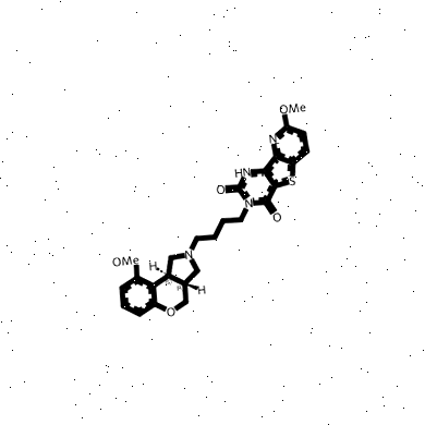 COc1ccc2sc3c(=O)n(CCCCN4C[C@@H]5COc6cccc(OC)c6[C@H]5C4)c(=O)[nH]c3c2n1